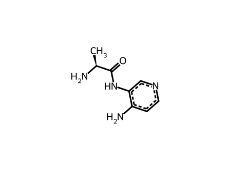 C[C@H](N)C(=O)Nc1cnccc1N